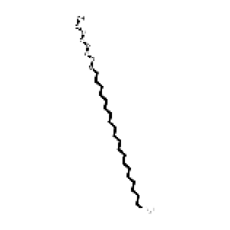 O=S(=O)(O)CCCCCCCCCCCCCCCCCCCCOOOOOOOO